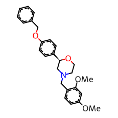 COc1ccc(CN2CCO[C@H](c3ccc(OCc4ccccc4)cc3)C2)c(OC)c1